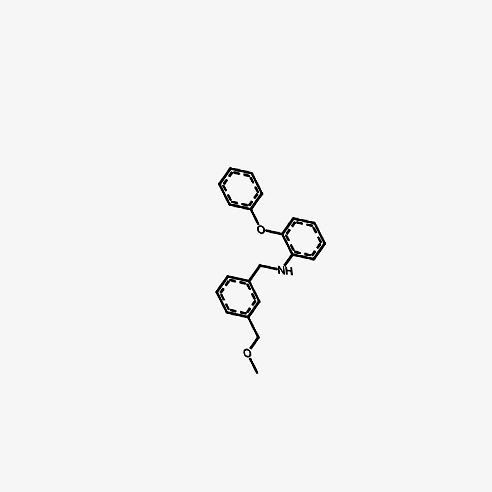 COCc1cccc(CNc2ccccc2Oc2ccccc2)c1